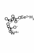 O=[Te]([O-])[O-].O=[Te]([O-])[O-].O=[Te]([O-])[O-].[GeH2+2].[W+4]